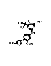 COc1nc(Nc2ccc(-n3cnc(C)c3)c(OC)c2)nc(C(C)(C)O)n1